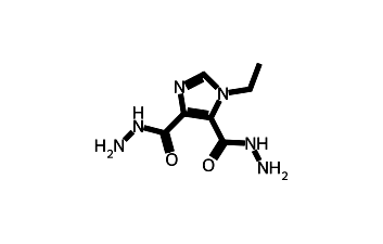 CCn1cnc(C(=O)NN)c1C(=O)NN